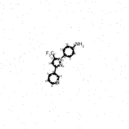 Nc1ccc(-n2nc(-c3cccnc3)cc2C(F)(F)F)cc1